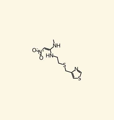 CN/C(=C/[N+](=O)[O-])NCCSCc1cscn1